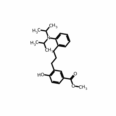 COC(=O)c1ccc(O)c(CCCc2ccccc2N(C(C)C)C(C)C)c1